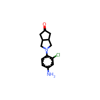 Nc1ccc(N2CC3CC(=O)CC3C2)c(Cl)c1